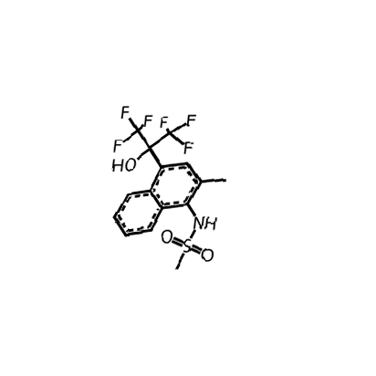 Cc1cc(C(O)(C(F)(F)F)C(F)(F)F)c2ccccc2c1NS(C)(=O)=O